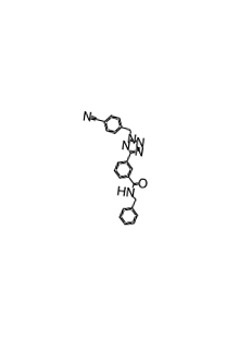 N#Cc1ccc(Cn2nnc(-c3cccc(C(=O)NCc4ccccc4)c3)n2)cc1